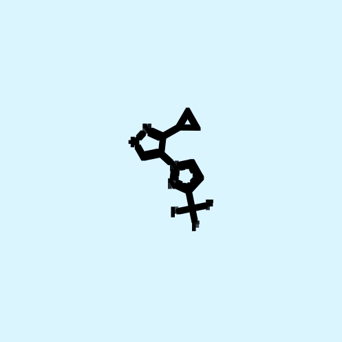 FC(F)(F)c1ccn(C2=C[N]N=C2C2CC2)n1